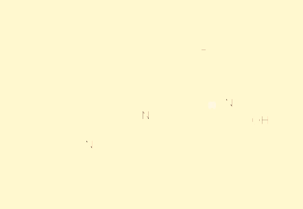 O/N=C/c1nc(-c2ccccn2)ccc1F